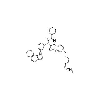 C/C=C\C=C/CCc1ccc(C2N=C(C3=CCCC=C3)N=C(c3cccc(-n4ccc5ccc6c(c54)C=CCC6)c3)C2C)cc1